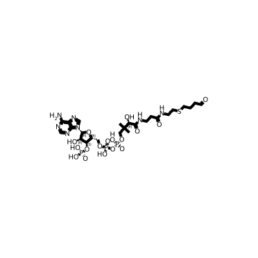 CC(C)(COP(=O)(O)OP(=O)(O)OC[C@H]1O[C@@H](n2cnc3c(N)ncnc32)[C@H](O)[C@@H]1OP(=O)(O)O)[C@@H](O)C(=O)NCCC(=O)NCCSCCCC=O